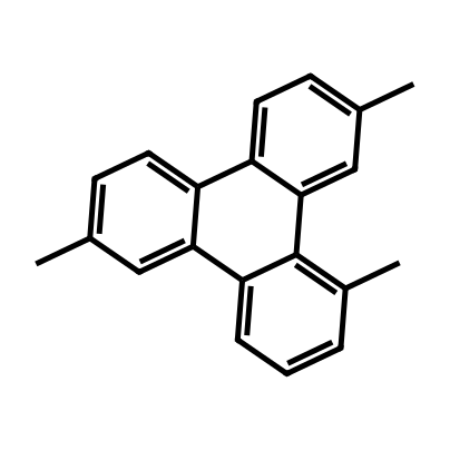 Cc1ccc2c(c1)c1cccc(C)c1c1cc(C)ccc21